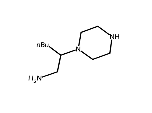 CCCCC(CN)N1CCNCC1